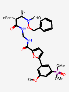 CCCCC[C@@H](C(=O)NCNC(=O)c1ccc(-c2cc(OCC)cc(P(=O)(OC)OC)c2)o1)[C@@H](CC)N(C=O)OCc1ccccc1